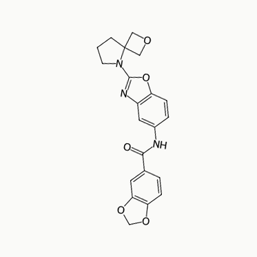 O=C(Nc1ccc2oc(N3CCCC34COC4)nc2c1)c1ccc2c(c1)OCO2